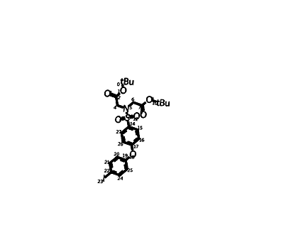 CC(C)(C)OC(=O)CN(CC(=O)OC(C)(C)C)S(=O)(=O)c1ccc(Oc2ccc(I)cc2)cc1